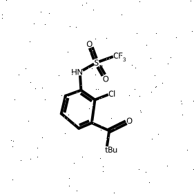 CC(C)(C)C(=O)c1cccc(NS(=O)(=O)C(F)(F)F)c1Cl